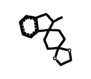 CC1Cc2ccccc2C12CCC1(CC2)OCCO1